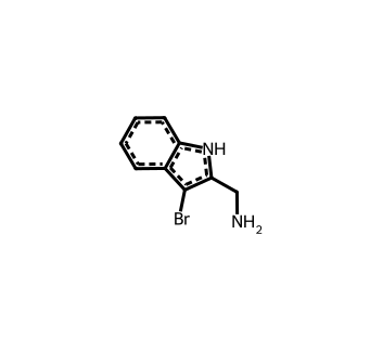 NCc1[nH]c2ccccc2c1Br